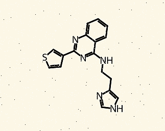 c1ccc2c(NCCc3c[nH]cn3)nc(-c3ccsc3)nc2c1